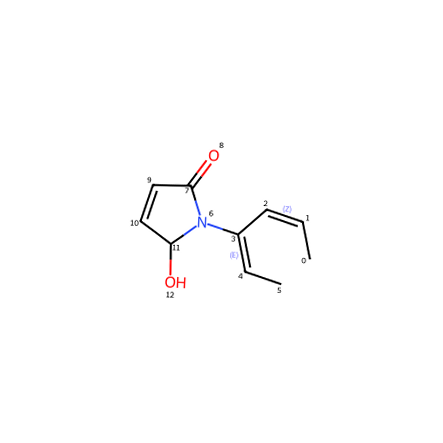 C/C=C\C(=C/C)N1C(=O)C=CC1O